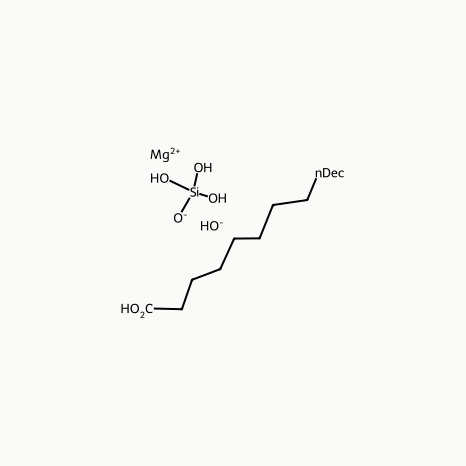 CCCCCCCCCCCCCCCCCC(=O)O.[Mg+2].[O-][Si](O)(O)O.[OH-]